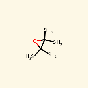 [SiH3]C1([SiH3])OC1([SiH3])[SiH3]